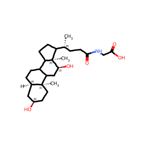 C[C@H](CCC(=O)NCC(=O)O)C1CCC2C3CC[C@@H]4C[C@H](O)CC[C@]4(C)C3C[C@H](O)[C@@]21C